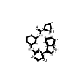 O=C(NC1CCCC(Nc2ncc(Cl)c(-c3c[nH]c4ccccc34)n2)C1)[C@H]1CCCN1